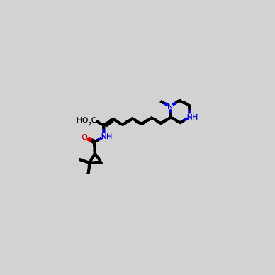 CN1CCNCC1CCCCCC=C(NC(=O)C1CC1(C)C)C(=O)O